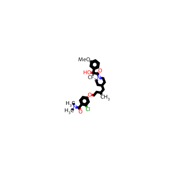 COc1cccc([C@@](O)(C(=O)N2CCC(CC(C)CCOc3ccc(C(=O)N(C)C)c(Cl)c3)CC2)C(F)(F)F)c1